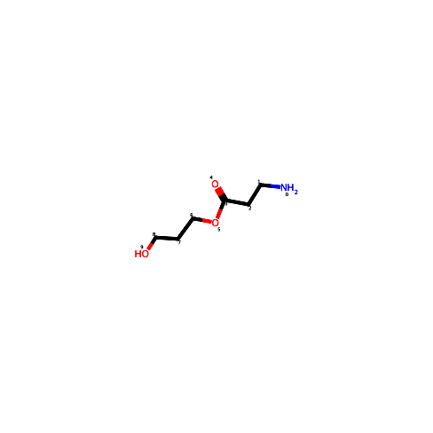 NCCC(=O)OCCCO